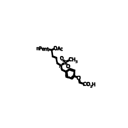 CCCCCC(CCCN(Cc1ccc(OCC(=O)O)cc1)S(C)(=O)=O)OC(C)=O